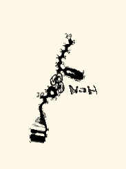 CCCCCCCCCC(C)c1ccc(S(=O)(=O)OCC(CCCCCCCCC)c2ccccc2)cc1.[NaH]